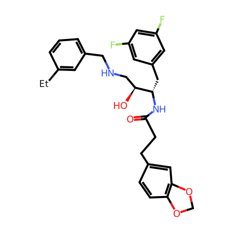 CCc1cccc(CNC[C@H](O)[C@H](Cc2cc(F)cc(F)c2)NC(=O)CCc2ccc3c(c2)OCO3)c1